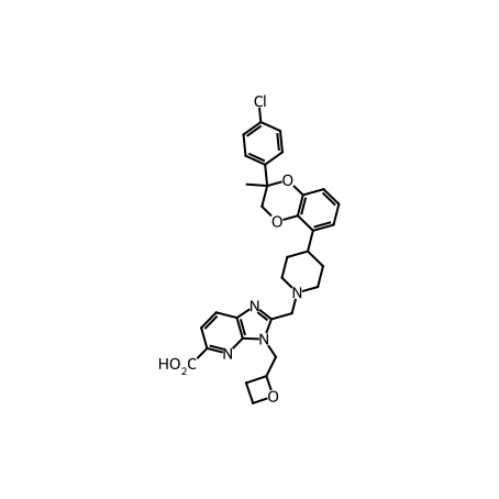 CC1(c2ccc(Cl)cc2)COc2c(cccc2C2CCN(Cc3nc4ccc(C(=O)O)nc4n3CC3CCO3)CC2)O1